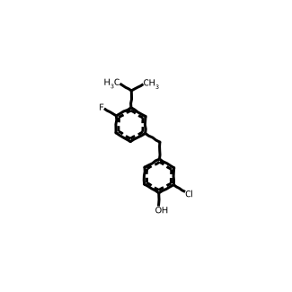 CC(C)c1cc(Cc2ccc(O)c(Cl)c2)ccc1F